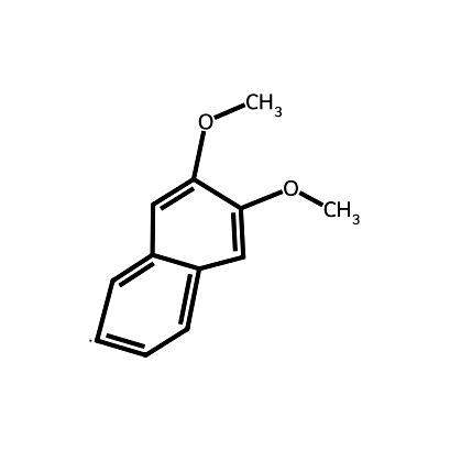 COc1cc2c[c]ccc2cc1OC